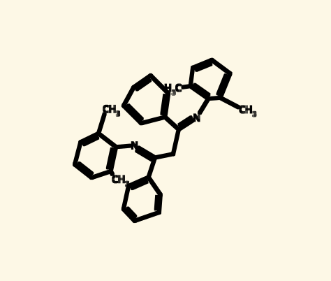 Cc1cccc(C)c1N=C(CC(=Nc1c(C)cccc1C)c1ccccc1)c1ccccc1